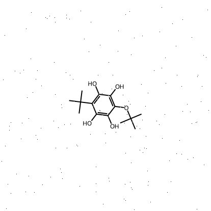 CC(C)(C)Oc1c(O)c(O)c(C(C)(C)C)c(O)c1O